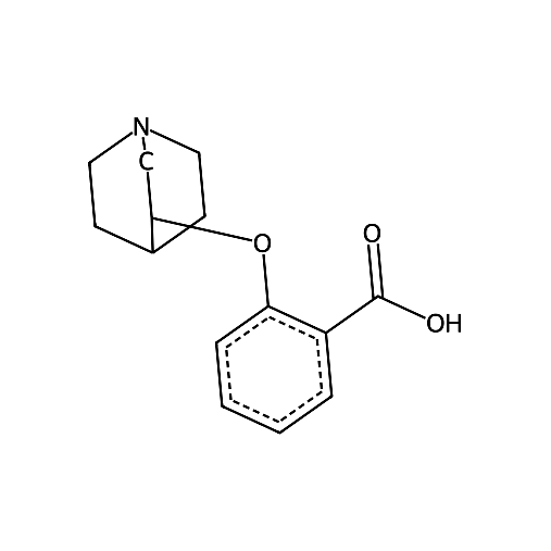 O=C(O)c1ccccc1OC1CN2CCC1CC2